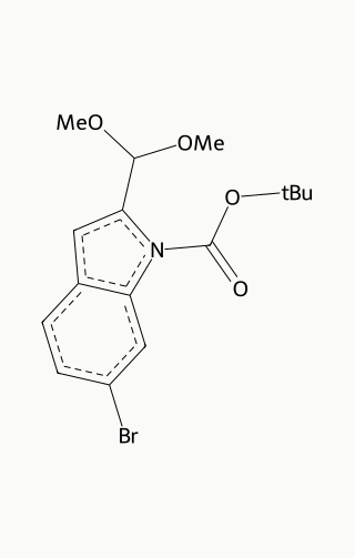 COC(OC)c1cc2ccc(Br)cc2n1C(=O)OC(C)(C)C